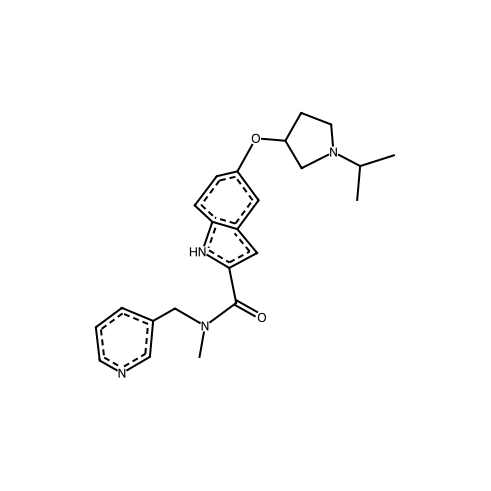 CC(C)N1CCC(Oc2ccc3[nH]c(C(=O)N(C)Cc4cccnc4)cc3c2)C1